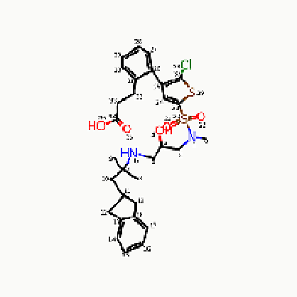 CN(CC(O)CNC(C)(C)CC1Cc2ccccc2C1)S(=O)(=O)c1cc(-c2ccccc2CCC(=O)O)c(Cl)s1